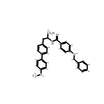 O=C(NC(Cc1ccc(-c2ccc(OC(F)(F)F)cc2)cc1)C(=O)O)c1ccc(OCc2ccccc2)cc1